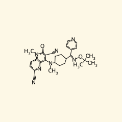 CN(c1c(C#N)c(=O)n(C)c2ccc(C#N)nc12)C1CCC(/C(=N/OC(C)(C)C)c2ccncc2)CC1